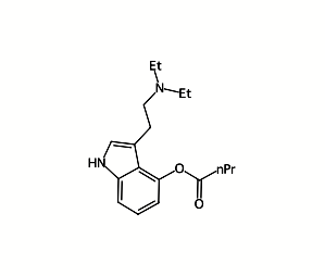 CCCC(=O)Oc1cccc2[nH]cc(CCN(CC)CC)c12